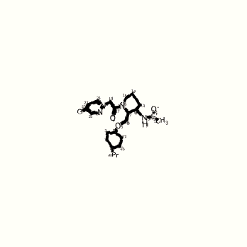 CC(C)C1CCC(OCC2C(N[S+](C)[O-])CCCN2C(=O)Cn2ccc(=O)cn2)CC1